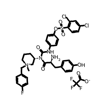 C[N+]1(Cc2ccc(F)cc2)CCC[C@H](N(C(=O)Nc2ccc(OS(=O)(=O)c3ccc(Cl)cc3Cl)cc2)C(=O)[C@@H](N)Cc2ccc(O)cc2)C1.O=C([O-])C(F)(F)F